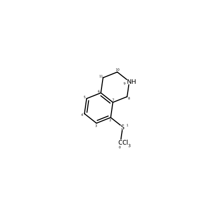 ClC(Cl)(Cl)Sc1cccc2c1CNCC2